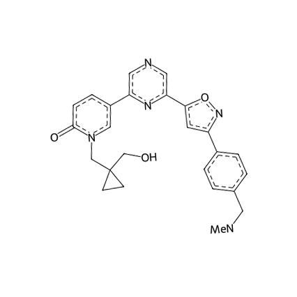 CNCc1ccc(-c2cc(-c3cncc(-c4ccc(=O)n(CC5(CO)CC5)c4)n3)on2)cc1